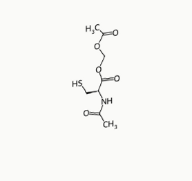 CC(=O)N[C@@H](CS)C(=O)OCOC(C)=O